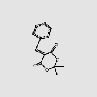 CC1(C)OC(=O)C(=Cc2ccncc2)C(=O)O1